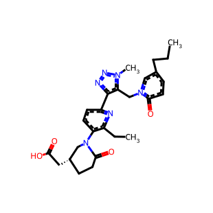 CCCc1ccc(=O)n(Cc2c(-c3ccc(N4C[C@@H](CC(=O)O)CCC4=O)c(CC)n3)nnn2C)c1